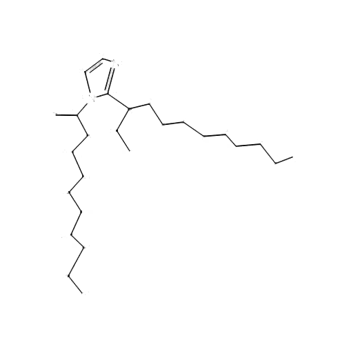 CCCCCCCCCC(CC)c1nccn1C(C)CCCCCCCCC